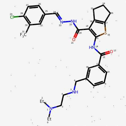 CCN(CC)CCNCc1cccc(C(=O)Nc2sc3c(c2C(=O)NN=Cc2ccc(Cl)c(C(F)(F)F)c2)CCC3)c1